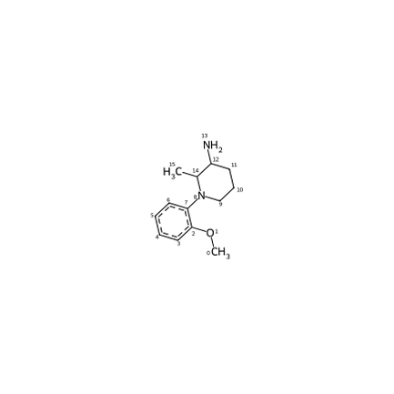 COc1ccccc1N1CCCC(N)C1C